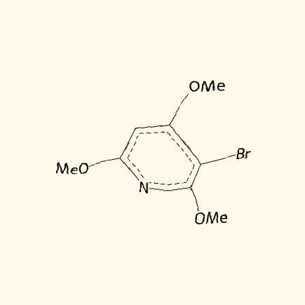 COc1cc(OC)c(Br)c(OC)n1